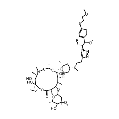 CC[C@H]1OC(=O)[C@H](C)[C@@H](O[C@H]2C[C@@](C)(OC)[C@@H](O)[C@H](C)O2)[C@H](C)[C@@H](O[C@H]2C[C@@H](N(C)CCc3cn([C@H](CF)[C@H](OC)c4ccc(SCCOC)cc4)nn3)C[C@@H](C)O2)[C@](C)(O)C[C@@H](C)CN(C)[C@H](C)[C@@H](O)[C@]1(C)O